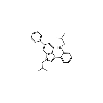 CC(C)Cn1cc(-c2ccccc2NSC(C)C)c2ccc(-c3ccccc3)cc21